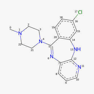 CN1CCN(C2=Nc3cccnc3Nc3cc(Cl)ccc32)CC1